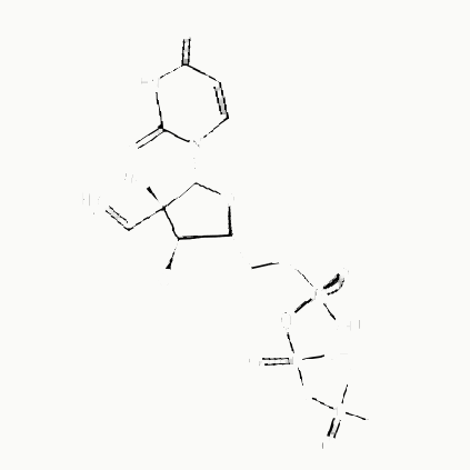 C=C[C@@]1(O)[C@H](O)[C@@H](COP(O)(=S)OP(=O)(O)OP(=O)(O)O)O[C@H]1n1ccc(=O)[nH]c1=O